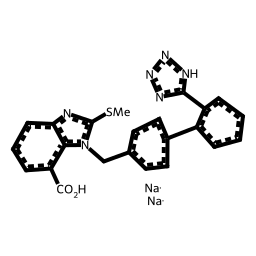 CSc1nc2cccc(C(=O)O)c2n1Cc1ccc(-c2ccccc2-c2nnn[nH]2)cc1.[Na].[Na]